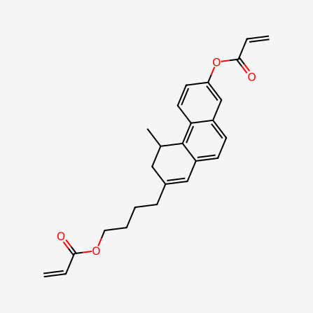 C=CC(=O)OCCCCC1=Cc2ccc3cc(OC(=O)C=C)ccc3c2C(C)C1